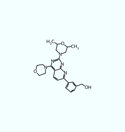 CC1CN(c2nc(N3CCOCC3)c3ccc(-c4cccc(CO)c4)nc3n2)CC(C)O1